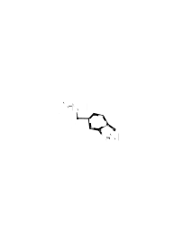 NNC(=O)c1ccc2c[nH]bc2c1